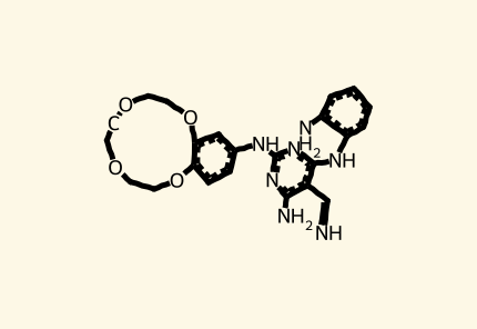 N=Cc1c(N)nc(Nc2ccc3c(c2)OCCOCCOCCO3)nc1Nc1ccccc1N